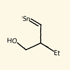 CCC([CH]=[Sn])CO